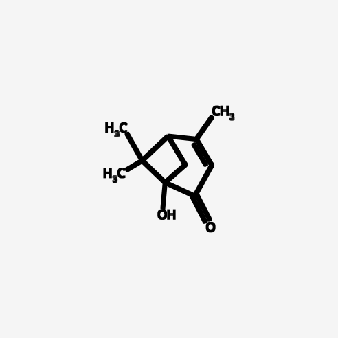 CC1=CC(=O)C2(O)CC1C2(C)C